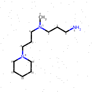 CN(CCCN)CCCN1CCCCC1